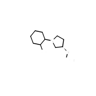 O=C(O)N[C@@H]1CCN(C2CCCCC2O)C1